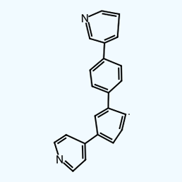 [c]1ccc(-c2ccncc2)cc1-c1ccc(-c2cccnc2)cc1